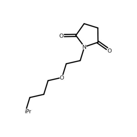 CC(C)CCCOCCN1C(=O)CCC1=O